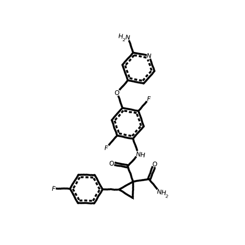 NC(=O)C1(C(=O)Nc2cc(F)c(Oc3ccnc(N)c3)cc2F)CC1c1ccc(F)cc1